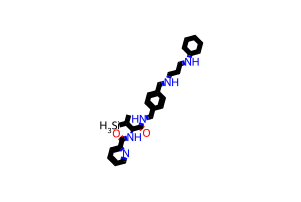 CC([SiH3])[C@H](NC(=O)c1ccccn1)C(=O)NCc1ccc(CNCCCNC2CCCCC2)cc1